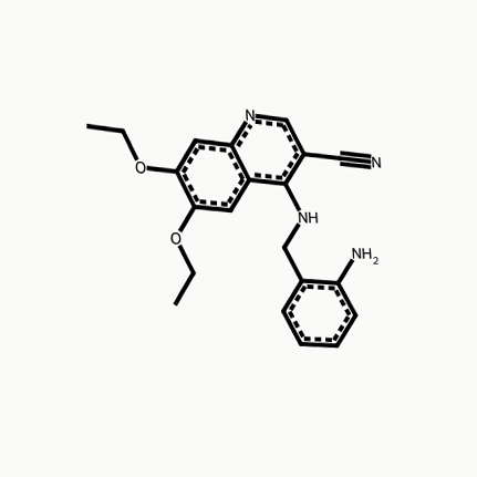 CCOc1cc2ncc(C#N)c(NCc3ccccc3N)c2cc1OCC